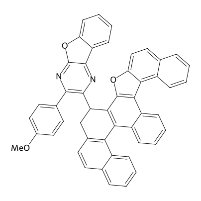 COc1ccc(-c2nc3oc4ccccc4c3nc2C2Cc3ccc4ccccc4c3-c3c2c2oc4ccc5ccccc5c4c2c2ccccc32)cc1